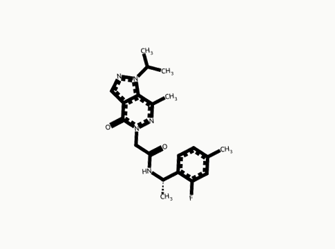 Cc1ccc([C@H](C)NC(=O)Cn2nc(C)c3c(cnn3C(C)C)c2=O)c(F)c1